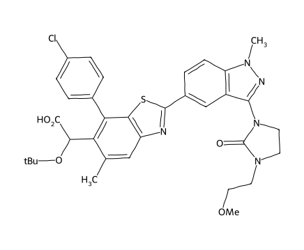 COCCN1CCN(c2nn(C)c3ccc(-c4nc5cc(C)c(C(OC(C)(C)C)C(=O)O)c(-c6ccc(Cl)cc6)c5s4)cc23)C1=O